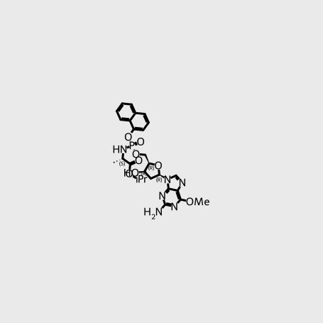 COc1nc(N)nc2c1ncn2[C@H]1C[C@@H](O)[C@@H](COP(=O)(N[C@@H](C)C(=O)OC(C)C)Oc2cccc3ccccc23)O1